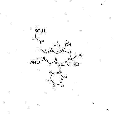 CCCC[C@]1(CC)CS(O)(O)c2cc(CCCS(=O)(=O)O)c(OC)cc2[C@@H](c2ccccc2)N1